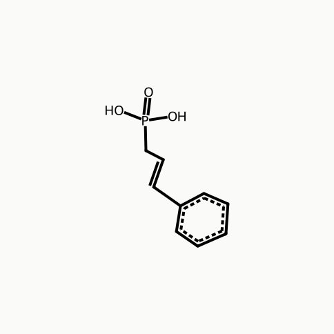 O=P(O)(O)CC=Cc1ccccc1